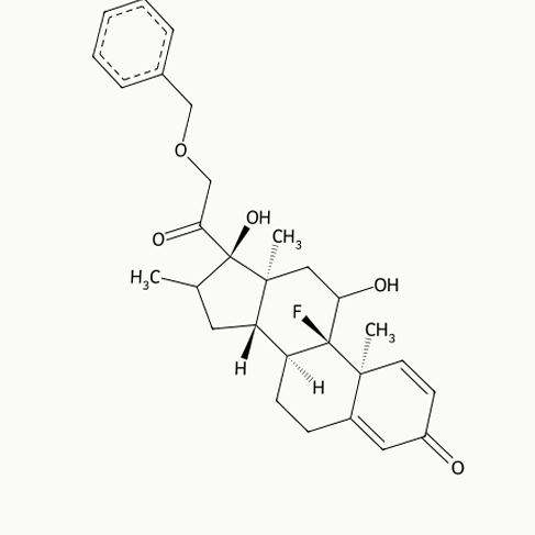 CC1C[C@H]2[C@@H]3CCC4=CC(=O)C=C[C@]4(C)[C@@]3(F)C(O)C[C@]2(C)[C@@]1(O)C(=O)COCc1ccccc1